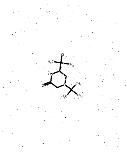 CC(C)(C)C1CN(C(C)(C)C)CC(=O)N1